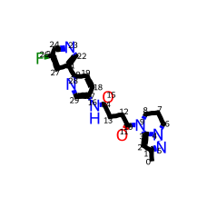 Cc1cc2n(n1)CCCN2C(=O)CCC(=O)Nc1ccc(-c2cncc(F)c2)nc1